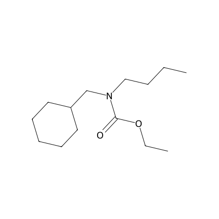 CCCCN(CC1CCCCC1)C(=O)OCC